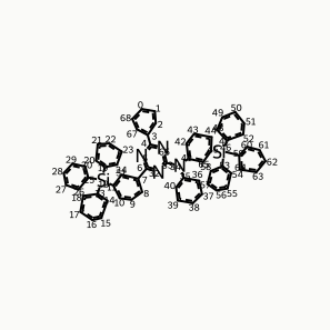 c1ccc(-c2nc(-c3cccc([Si](c4ccccc4)(c4ccccc4)c4ccccc4)c3)nc(N(c3ccccc3)c3cccc([Si](c4ccccc4)(c4ccccc4)c4ccccc4)c3)n2)cc1